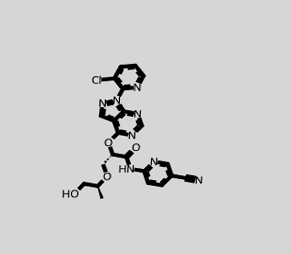 C[C@@H](CO)OC[C@H](Oc1ncnc2c1cnn2-c1ncccc1Cl)C(=O)Nc1ccc(C#N)cn1